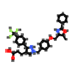 Cc1oc(-c2ccccc2)nc1COc1ccc(Cn2cc(CCC(=O)O)c(-c3ccc(C(F)(F)F)cc3)n2)cc1